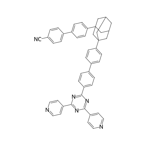 N#Cc1ccc(-c2ccc(C34CC5CC(C3)CC(c3ccc(-c6ccc(-c7nc(-c8ccncc8)nc(-c8ccncc8)n7)cc6)cc3)(C5)C4)cc2)cc1